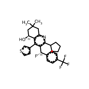 CC1(C)Cc2nc(C3CCCC3)c([C@@H](F)c3ccc(C(F)(F)F)cc3)c(-c3ccsc3)c2[C@@H](O)C1